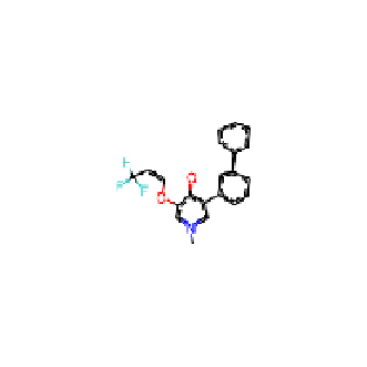 Cn1cc(O/C=C\C(F)(F)F)c(=O)c(-c2cccc(-c3ccccc3)c2)c1